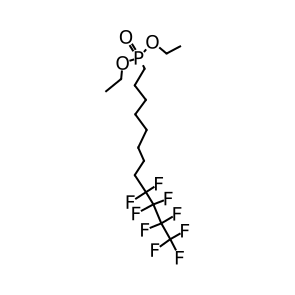 CCOP(=O)(CCCCCCCCC(F)(F)C(F)(F)C(F)(F)C(F)(F)F)OCC